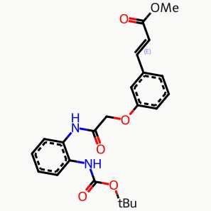 COC(=O)/C=C/c1cccc(OCC(=O)Nc2ccccc2NC(=O)OC(C)(C)C)c1